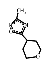 Cc1noc(C2CCOCC2)n1